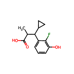 CC(C(=O)O)C(c1cccc(O)c1F)C1CC1